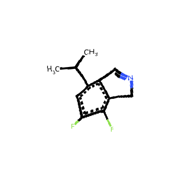 CC(C)c1cc(F)c(F)c2c1C=NC2